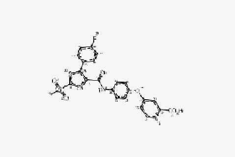 CS(=O)(=O)c1nc(C(=O)Nc2ccc(Oc3ccnc(C(=O)O)c3)cc2)c(-c2ccc(F)cc2)s1